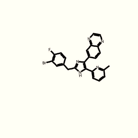 Cc1cccc(-c2[nH]c(Cc3ccc(F)c(Br)c3)nc2-c2ccc3nccnc3c2)n1